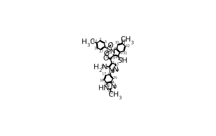 Cc1ccc(S(=O)(=O)n2c(C(=O)c3cnn(-c4ccc5[nH]c(C)nc5c4)c3N)c(S)c3ccc(C)cc32)cc1